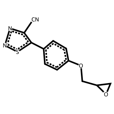 N#Cc1nnsc1-c1ccc(OCC2CO2)cc1